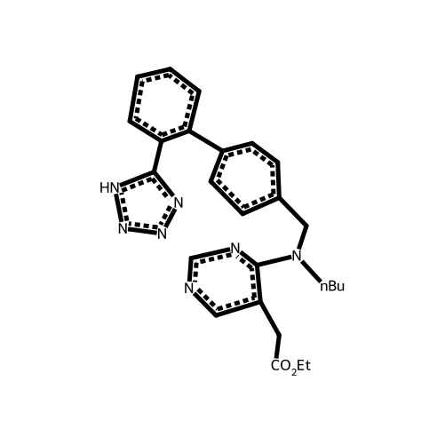 CCCCN(Cc1ccc(-c2ccccc2-c2nnn[nH]2)cc1)c1ncncc1CC(=O)OCC